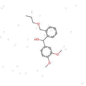 CCCOCc1ccccc1C(O)c1ccc(OC)c(OC)c1